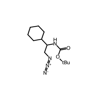 CC(C)(C)OC(=O)NC(CN=[N+]=[N-])C1CCCCC1